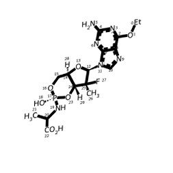 CCOc1nc(N)nc2c1ncn2[C@@H]1O[C@@H]2CO[P@](O)(NC(C)C(=O)O)O[C@H]2[C@@]1(C)F